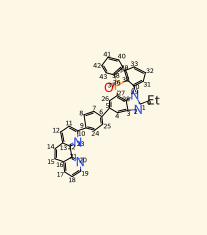 CCc1nc2cc(-c3ccc(-c4ccc5ccc6cccnc6c5n4)cc3)cc3c2n1-c1ccccc1P3(=O)c1ccccc1